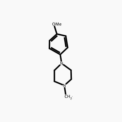 [CH2]N1CCN(c2ccc(OC)cc2)CC1